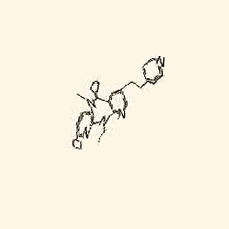 CCN1c2ncc(CCc3ccncc3)cc2C(=O)N(C)c2ccc(Cl)nc21